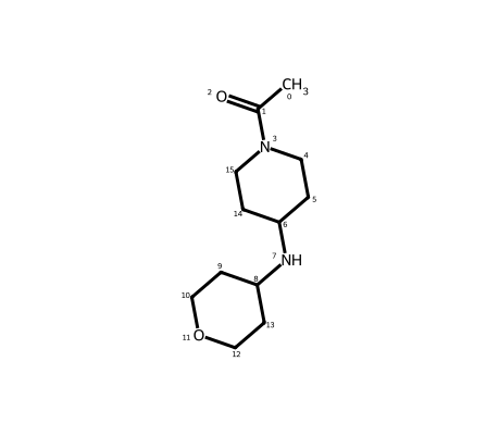 CC(=O)N1CCC(NC2CCOCC2)CC1